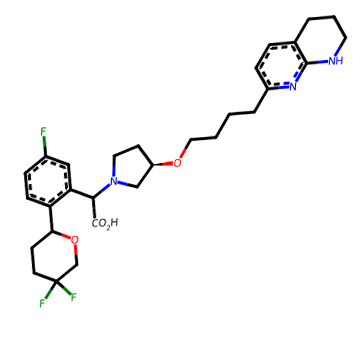 O=C(O)C(c1cc(F)ccc1C1CCC(F)(F)CO1)N1CC[C@@H](OCCCCc2ccc3c(n2)NCCC3)C1